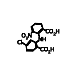 O=C(O)c1ccc(Cl)cc1Nc1c(C(=O)O)cccc1[N+](=O)[O-]